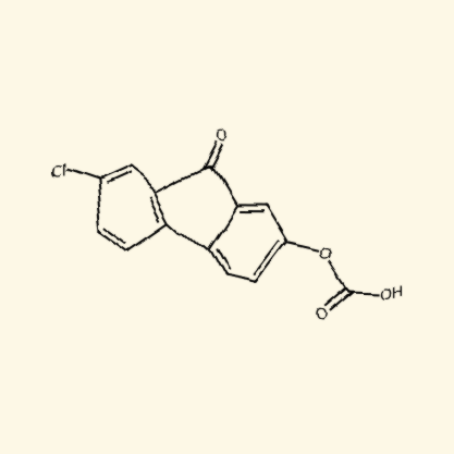 O=C(O)Oc1ccc2c(c1)C(=O)c1cc(Cl)ccc1-2